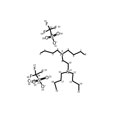 CCCCN(CCCC)CCN(CCCC)CCCC.O=S(=O)([O-])C(F)(F)F.O=S(=O)([O-])C(F)(F)F.[Cu+2]